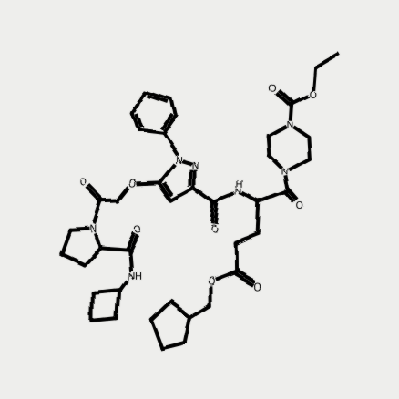 CCOC(=O)N1CCN(C(=O)C(CCC(=O)OCC2CCCC2)NC(=O)c2cc(OCC(=O)N3CCCC3C(=O)NC3CCC3)n(-c3ccccc3)n2)CC1